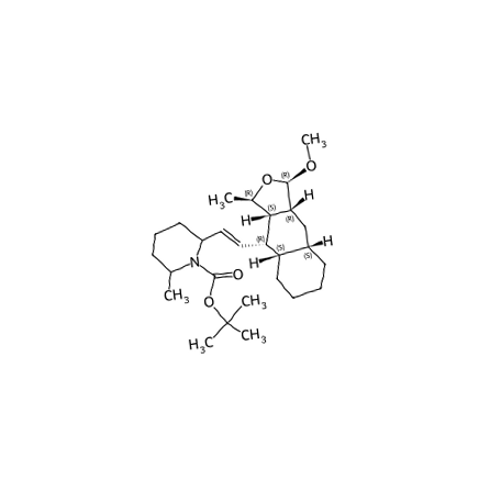 CO[C@@H]1O[C@H](C)[C@H]2[C@@H](C=CC3CCCC(C)N3C(=O)OC(C)(C)C)[C@H]3CCCC[C@H]3C[C@@H]12